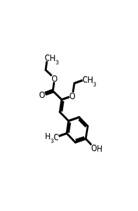 CCOC(=O)C(=Cc1ccc(O)cc1C)OCC